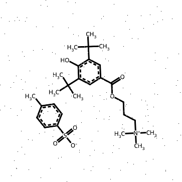 CC(C)(C)c1cc(C(=O)OCCC[N+](C)(C)C)cc(C(C)(C)C)c1O.Cc1ccc(S(=O)(=O)[O-])cc1